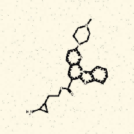 CN1CCN(c2ccc3cc(C(=O)OCCC4CC4N)c4nc5ccccc5n4c3n2)CC1